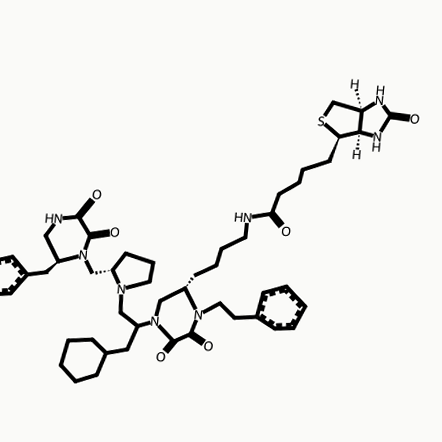 O=C(CCCC[C@H]1SC[C@H]2NC(=O)N[C@H]21)NCCCC[C@H]1CN(C(CC2CCCCC2)CN2CCC[C@H]2CN2C(=O)C(=O)NC[C@@H]2Cc2ccccc2)C(=O)C(=O)N1CCc1ccccc1